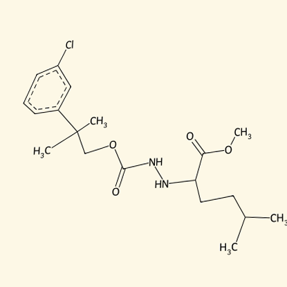 COC(=O)C(CCC(C)C)NNC(=O)OCC(C)(C)c1cccc(Cl)c1